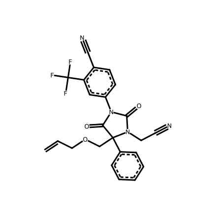 C=CCOCC1(c2ccccc2)C(=O)N(c2ccc(C#N)c(C(F)(F)F)c2)C(=O)N1CC#N